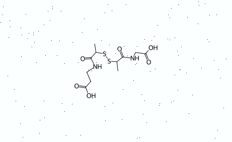 CC(SSC(C)C(=O)NCC(=O)O)C(=O)NCCC(=O)O